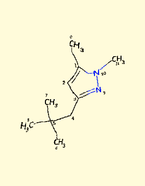 Cc1cc(CC(C)(C)C)nn1C